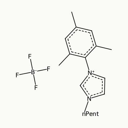 CCCCCn1cc[n+](-c2c(C)cc(C)cc2C)c1.F[B-](F)(F)F